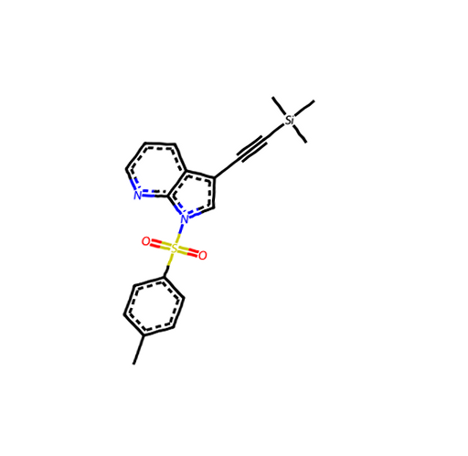 Cc1ccc(S(=O)(=O)n2cc(C#C[Si](C)(C)C)c3cccnc32)cc1